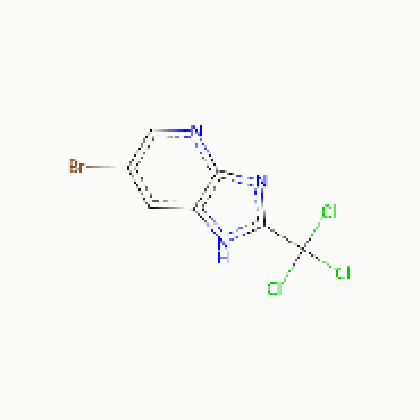 ClC(Cl)(Cl)c1nc2ncc(Br)cc2[nH]1